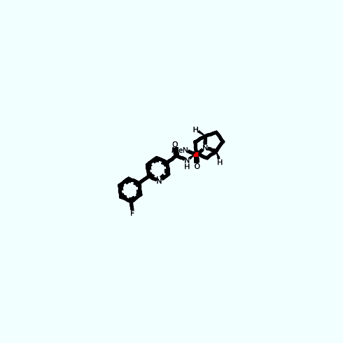 CNC(=O)N1[C@@H]2CC[C@H]1C[C@H](NC(=O)c1ccc(-c3cccc(F)c3)nc1)C2